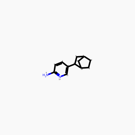 Nc1ccc(C2CC3CCC2C3)cn1